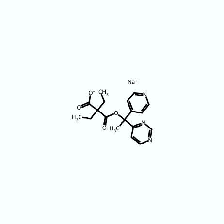 CCC(CC)(C(=O)[O-])C(=O)OC(C)(c1ccncc1)c1ccncn1.[Na+]